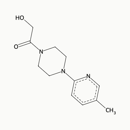 Cc1ccc(N2CCN(C(=O)CO)CC2)nc1